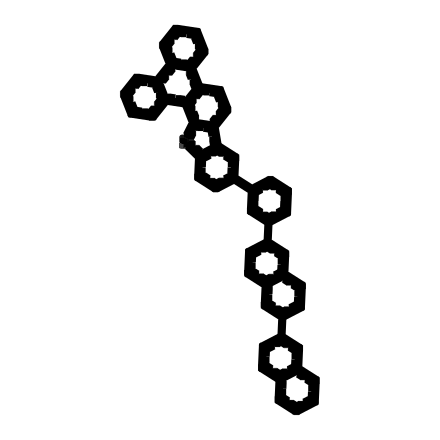 c1cc(-c2ccc3cc(-c4ccc5ccccc5c4)ccc3c2)cc(-c2ccc3sc4c(ccc5c6ccccc6c6ccccc6c54)c3c2)c1